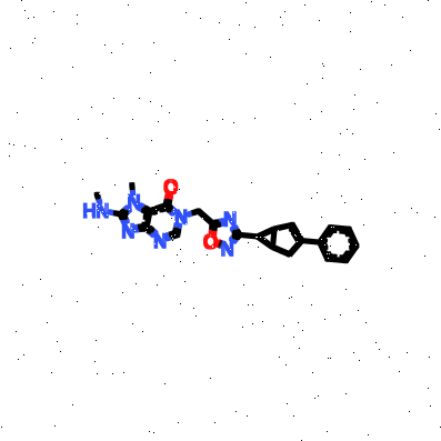 CNc1nc2ncn(Cc3nc(C4C5C=C(c6ccccc6)CC54)no3)c(=O)c2n1C